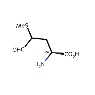 CSC(C=O)C[C@H](N)C(=O)O